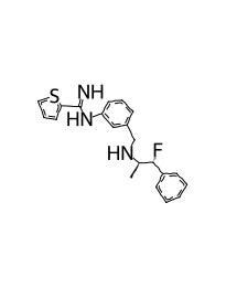 C[C@@H](NCc1cccc(NC(=N)c2cccs2)c1)[C@H](F)c1ccccc1